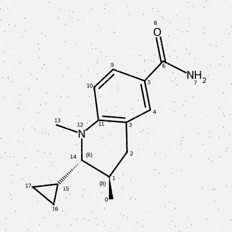 C[C@@H]1Cc2cc(C(N)=O)ccc2N(C)[C@H]1C1CC1